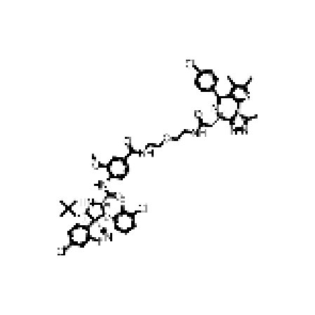 COc1cc(C(=O)NCCOCCNC(=O)C[C@@H]2N=C(c3ccc(Cl)cc3)c3c(sc(C)c3C)-n3c(C)nnc32)ccc1NC(=O)[C@@H]1N[C@@H](CC(C)(C)C)[C@](C#N)(c2ccc(Cl)cc2F)[C@H]1c1cccc(Cl)c1F